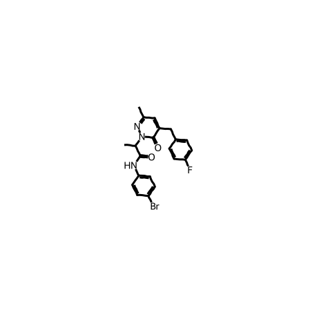 Cc1cc(Cc2ccc(F)cc2)c(=O)n(C(C)C(=O)Nc2ccc(Br)cc2)n1